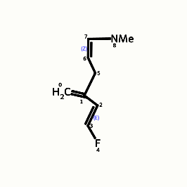 C=C(/C=C/F)C/C=C\NC